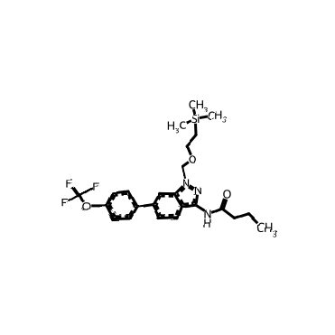 CCCC(=O)Nc1nn(COCC[Si](C)(C)C)c2cc(-c3ccc(OC(F)(F)F)cc3)ccc12